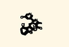 Cc1nc(-c2cncc(Cl)c2)n(Cc2csc3cccc(Cl)c23)c1C(=O)O